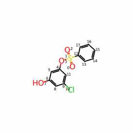 O=S(=O)(Oc1cc(O)cc(Cl)c1)c1ccccc1